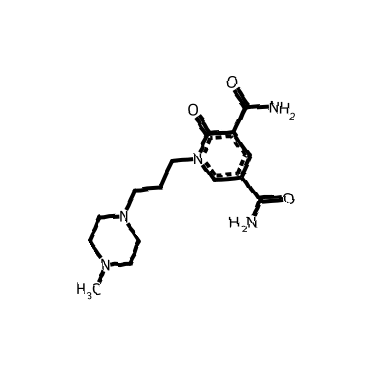 CN1CCN(CCCn2cc(C(N)=O)cc(C(N)=O)c2=O)CC1